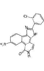 Bc1ccc2c(c1)c1c(=O)[nH]ccc1c1[nH]c(-c3ccccc3Cl)nc21